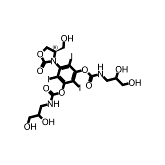 O=C(NCC(O)CO)Oc1c(I)c(OC(=O)NCC(O)CO)c(I)c(N2C(=O)OC[C@H]2CO)c1I